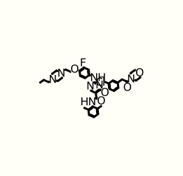 CCCN1CCN(CCOc2ccc(Nc3ncc(C(=O)Nc4c(C)cccc4C)c(Oc4ccc(CC(=O)N5CCOCC5)cc4Cl)n3)cc2F)CC1